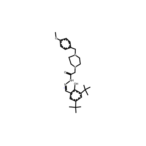 COc1ccc(CN2CCN(CC(=O)N/N=C\c3cc(C(C)(C)C)cc(C(C)(C)C)c3O)CC2)cc1